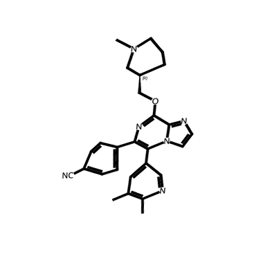 Cc1cc(-c2c(-c3ccc(C#N)cc3)nc(OC[C@@H]3CCCN(C)C3)c3nccn23)cnc1C